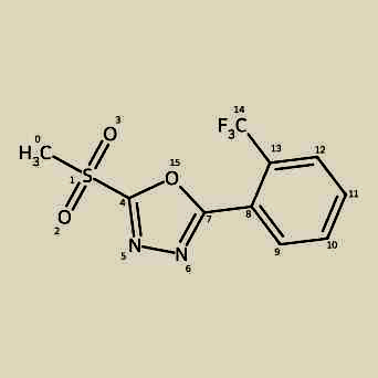 CS(=O)(=O)c1nnc(-c2ccccc2C(F)(F)F)o1